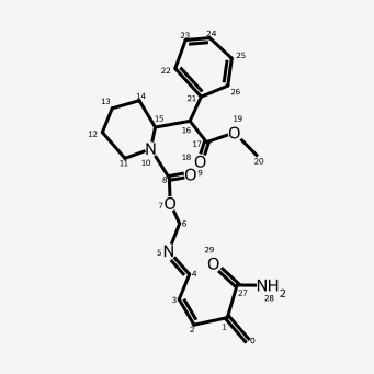 C=C(/C=C\C=N\COC(=O)N1CCCCC1C(C(=O)OC)c1ccccc1)C(N)=O